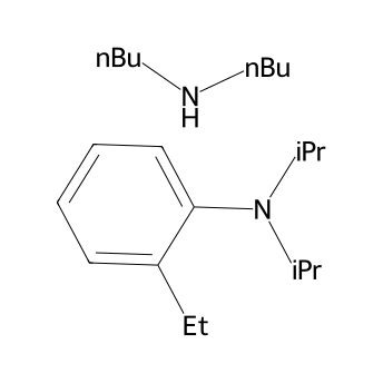 CCCCNCCCC.CCc1ccccc1N(C(C)C)C(C)C